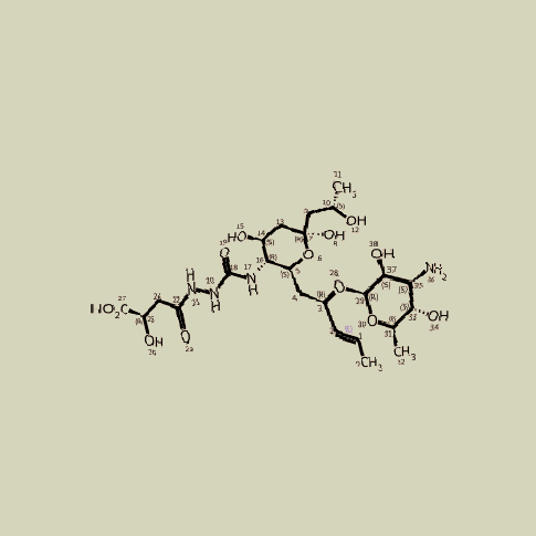 C/C=C/[C@@H](C[C@@H]1O[C@](O)(C[C@H](C)O)C[C@H](O)[C@H]1NC(=O)NNC(=O)C[C@@H](O)C(=O)O)O[C@@H]1O[C@H](C)[C@@H](O)[C@H](N)[C@@H]1O